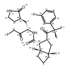 C[C@@](F)(C(=O)N1C[C@@H]2CCC[C@@H]2[C@@H]1C(=O)N[C@@H](C[C@H]1CCNC1=O)C(=O)CF)c1cccc(F)c1